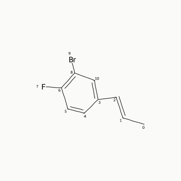 CC=Cc1ccc(F)c(Br)c1